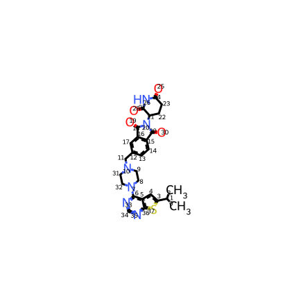 CC(C)c1cc2c(N3CCN(Cc4ccc5c(c4)C(=O)N(C4CCC(=O)NC4=O)C5=O)CC3)ncnc2s1